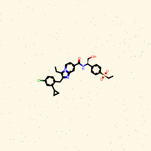 CCc1c(Cc2ccc(Cl)cc2C2CC2)nc2cc(C(=O)N[C@@H](CO)c3ccc(S(=O)(=O)CC)cc3)ccn12